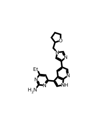 CCc1cc(-c2c[nH]c3ncc(-c4cn(CC5CCCO5)cn4)cc23)nc(N)n1